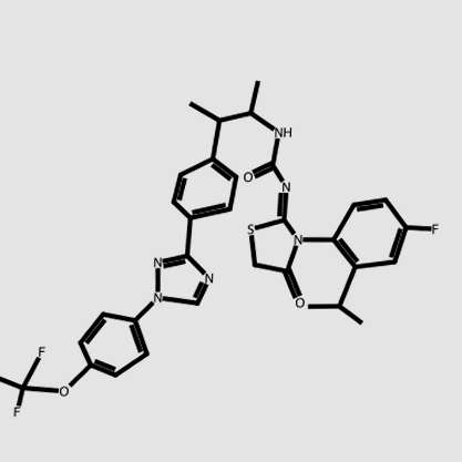 CC(C)c1cc(F)ccc1N1C(=O)CS/C1=N\C(=O)NC(C)C(C)c1ccc(-c2ncn(-c3ccc(OC(F)(F)F)cc3)n2)cc1